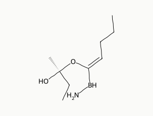 CCC/C=C(/BN)O[C@](C)(O)CC